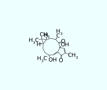 CC1=C[C@@]2(O)C(=O)[C@H](C)C[C@@H]3[C@H](CC[C@](C)(O)/C=C\2C1=O)C3(C)C